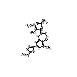 CNc1nc(-c2cc(C)c3c(c2)CN(c2nc(N)nc(C)c2C(C)C)CCO3)cs1